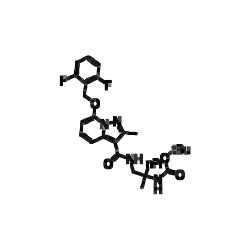 CCCC(C)(CNC(=O)c1c(C)nn2c(OCc3c(F)cccc3F)cccc12)NC(=O)OC(C)(C)C